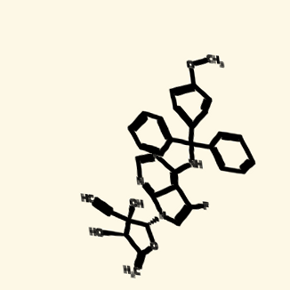 C#C[C@@]1(O)[C@H](O)C(=C)O[C@H]1n1cc(F)c2c(NC(c3ccccc3)(c3ccccc3)c3ccc(OC)cc3)ncnc21